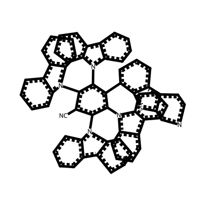 N#Cc1c(-n2c3ccccc3c3ccccc32)c(-n2c3ccccc3c3ccccc32)c(-c2cccc3c2sc2cnccc23)c(-n2c3ccccc3c3ccccc32)c1-n1c2ccccc2c2ccccc21